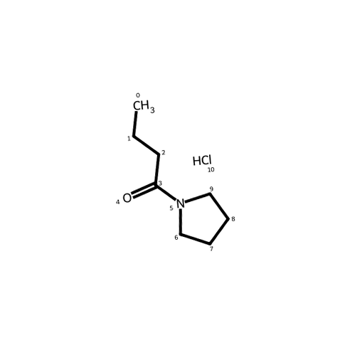 CCCC(=O)N1CCCC1.Cl